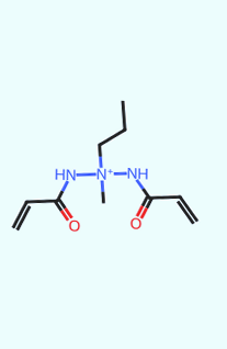 C=CC(=O)N[N+](C)(CCC)NC(=O)C=C